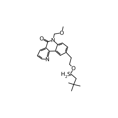 COCn1c(=O)c2cccnc2c2cc(CCO[SiH2]CC(C)(C)C)ccc21